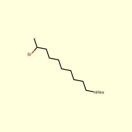 [CH2]C(Br)CCCCCCCCCCCCCC